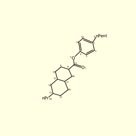 CCCCCc1ccc(OC(=O)C2CCC3CC(CCC)CCC3C2)cc1